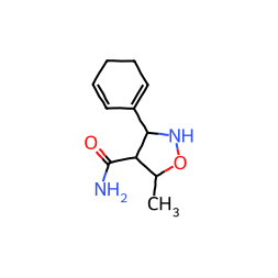 CC1ONC(C2=CCCC=C2)C1C(N)=O